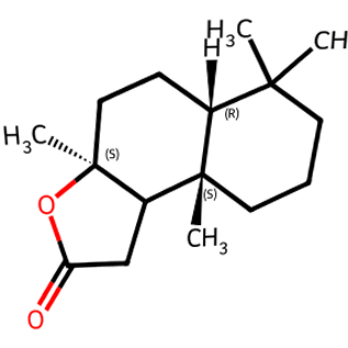 CC1(C)CCC[C@]2(C)C3CC(=O)O[C@@]3(C)CC[C@H]12